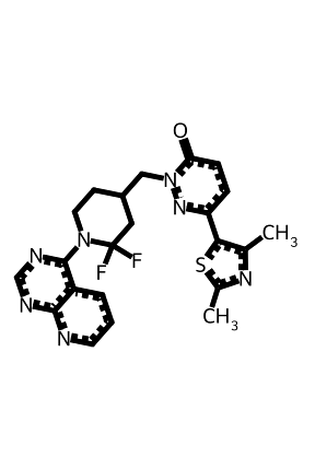 Cc1nc(C)c(-c2ccc(=O)n(CC3CCN(c4ncnc5ncccc45)C(F)(F)C3)n2)s1